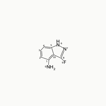 Nc1cccc2[nH]nc(F)c12